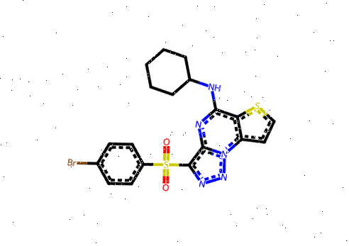 O=S(=O)(c1ccc(Br)cc1)c1nnn2c1nc(NC1CCCCC1)c1sccc12